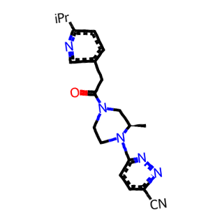 CC(C)c1ccc(CC(=O)N2CCN(c3ccc(C#N)nn3)[C@H](C)C2)cn1